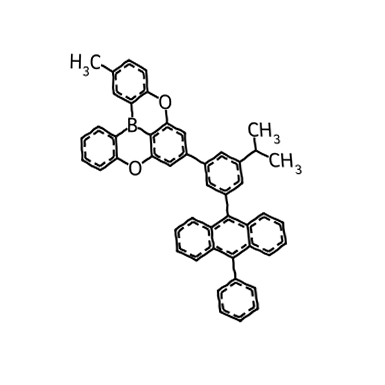 Cc1ccc2c(c1)B1c3ccccc3Oc3cc(-c4cc(-c5c6ccccc6c(-c6ccccc6)c6ccccc56)cc(C(C)C)c4)cc(c31)O2